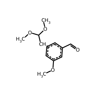 COC(C)OC.COc1cccc(C=O)c1